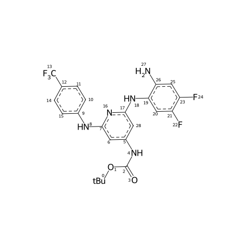 CC(C)(C)OC(=O)Nc1cc(Nc2ccc(C(F)(F)F)cc2)nc(Nc2cc(F)c(F)cc2N)c1